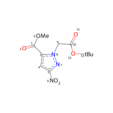 COC(=O)c1cc([N+](=O)[O-])nn1CC(=O)OC(C)(C)C